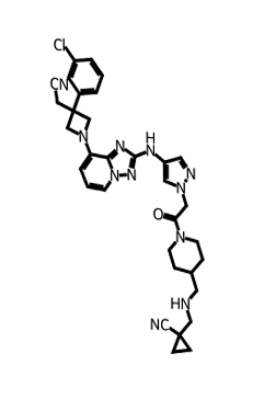 N#CCC1(c2cccc(Cl)c2)CN(c2cccn3nc(Nc4cnn(CC(=O)N5CCC(CNCC6(C#N)CC6)CC5)c4)nc23)C1